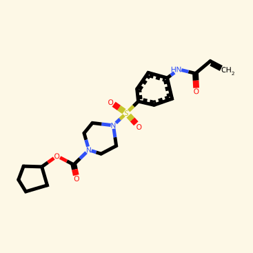 C=CC(=O)Nc1ccc(S(=O)(=O)N2CCN(C(=O)OC3CCCC3)CC2)cc1